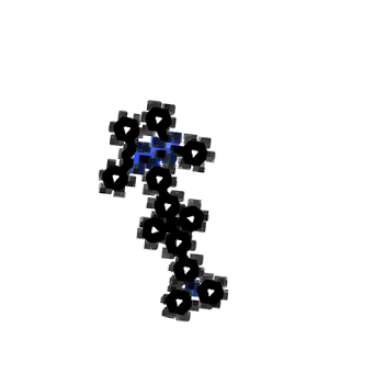 c1ccc(-c2cc(-c3ccccc3)nc(N(c3ccc(-c4ccc([Si](c5ccccc5)(c5ccccc5)c5ccc(-c6ccc(N(c7ccccc7)c7ccccc7)cc6)cc5)cc4)cc3)c3nc(-c4ccccc4)nc(-c4ccccc4)n3)n2)cc1